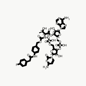 C[C@@H](O)[C@H](NC(=O)OCc1ccc(NC(=O)Cc2ccc(F)cc2)cc1)C(=O)O[C@H]1[C@@H](O)[C@H](n2cnc3c(N)ncnc32)O[C@@H]1COP(=O)(O)O[C@@H]1C(COP(=O)(O)O)O[C@@H](n2ccc(N)nc2=O)[C@@H]1O